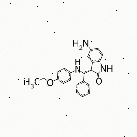 CCOc1ccc(NC(=C2C(=O)Nc3ccc(N)cc32)c2ccccc2)cc1